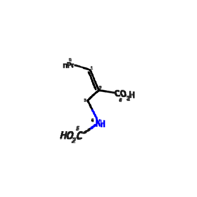 CCCC=C(CNC(=O)O)C(=O)O